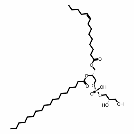 CCCC/C=C\CCCCCCCC(=O)OC[C@H](COP(=O)(O)OC[C@@H](O)CO)OC(=O)CCCCCCCCCCCCCCCCC